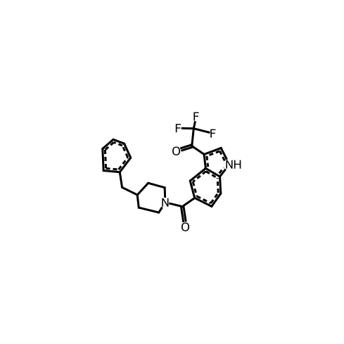 O=C(c1ccc2[nH]cc(C(=O)C(F)(F)F)c2c1)N1CCC(Cc2ccccc2)CC1